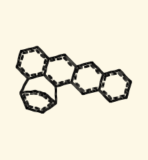 c1ccc2cc3c4c5c(cccc5cc3cc2c1)-c1ccc-4cc1